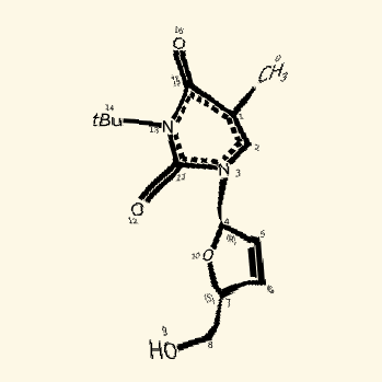 Cc1cn([C@H]2C=C[C@@H](CO)O2)c(=O)n(C(C)(C)C)c1=O